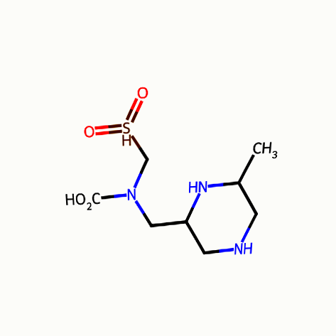 CC1CNCC(CN(C[SH](=O)=O)C(=O)O)N1